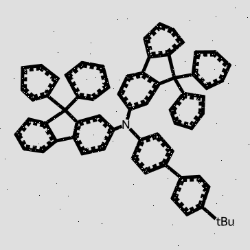 CC(C)(C)c1ccc(-c2ccc(N(c3ccc4c(c3)C(c3ccccc3)(c3ccccc3)c3ccccc3-4)c3ccc4c(c3)C(c3ccccc3)(c3ccccc3)c3ccccc3-4)cc2)cc1